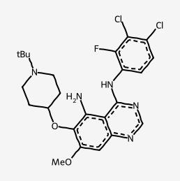 COc1cc2ncnc(Nc3ccc(Cl)c(Cl)c3F)c2c(N)c1OC1CCN(C(C)(C)C)CC1